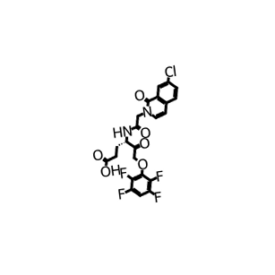 O=C(O)CC[C@H](NC(=O)Cn1ccc2ccc(Cl)cc2c1=O)C(=O)COc1c(F)c(F)cc(F)c1F